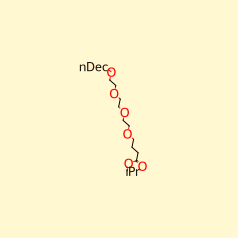 CCCCCCCCCCOCCOCCOCCOCCCC(=O)OC(C)C